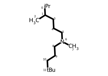 CC(C)C(C)CCCN(C)CCCC(C)(C)C